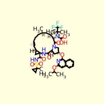 CC(C)Oc1cc2ccccc2c(O[C@@H]2C[C@H]3C(=O)N[C@]4(C(=O)NS(=O)(=O)C5(C)CC5)C[C@H]4/C=C\CC[C@@H](C)C[C@@H](C)[C@H](N(C(=O)O)C(C)(C)C(F)(F)F)C(=O)N3C2)n1